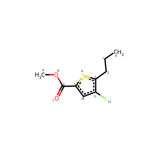 CCCc1sc(C(=O)OC)cc1F